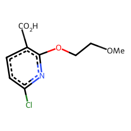 COCCOc1nc(Cl)ccc1C(=O)O